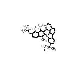 Cc1c2cc(CC(C)(C)C)ccc2c(C)c2c1c1c3c(ccc4c5ccc([Si](C)(C)C)cc5n2c43)cc[n+]1C